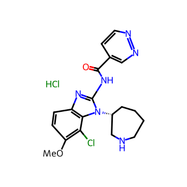 COc1ccc2nc(NC(=O)c3ccnnc3)n([C@@H]3CCCCNC3)c2c1Cl.Cl